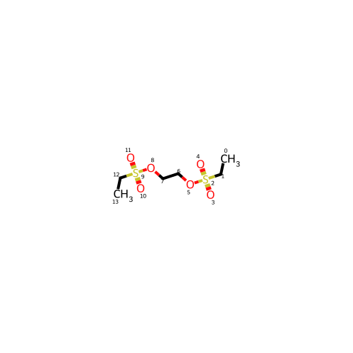 CCS(=O)(=O)OCCOS(=O)(=O)CC